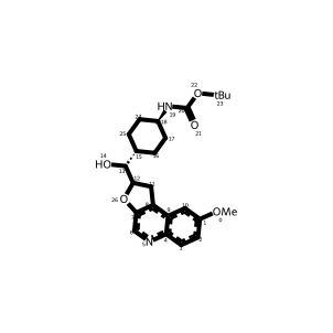 COc1ccc2ncc3c(c2c1)CC(C(O)[C@H]1CC[C@H](NC(=O)OC(C)(C)C)CC1)O3